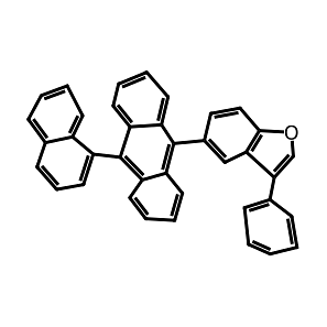 c1ccc(-c2coc3ccc(-c4c5ccccc5c(-c5cccc6ccccc56)c5ccccc45)cc23)cc1